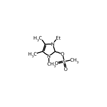 CCN1C(C)=C(C)N(C)C1OS(C)(=O)=O